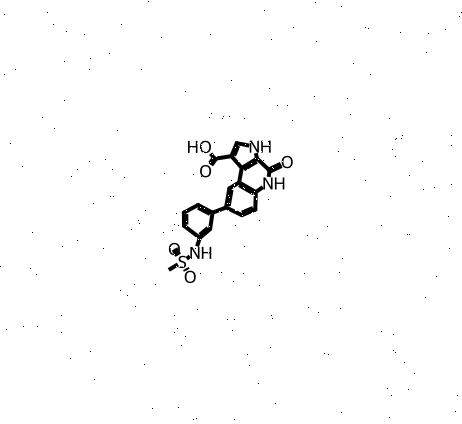 CS(=O)(=O)Nc1cccc(-c2ccc3[nH]c(=O)c4[nH]cc(C(=O)O)c4c3c2)c1